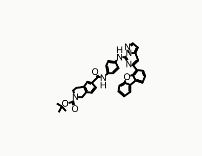 CC(C)(C)OC(=O)N1CCc2cc(C(=O)Nc3ccc(Nc4nc(-c5cccc6c5oc5ccccc56)cc5ccnn45)cc3)ccc2C1